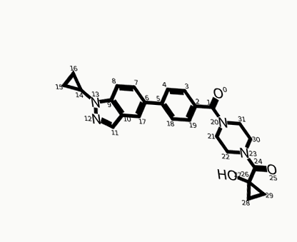 O=C(c1ccc(-c2ccc3c(cnn3C3CC3)c2)cc1)N1CCN(C(=O)C2(O)CC2)CC1